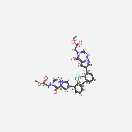 COC(=O)Cn1cnn2cc(-c3cccc(-c4cccc(-c5cc6c(=O)n(CC(=O)OC)cnn6c5)c4Cl)c3Cl)cc2c1=O